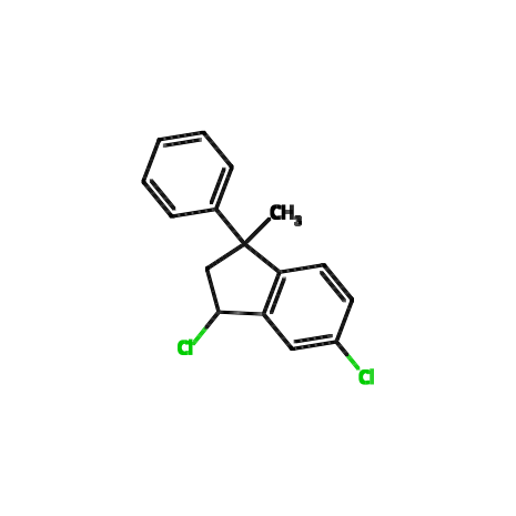 CC1(c2ccccc2)CC(Cl)c2cc(Cl)ccc21